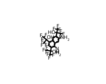 Nc1cc2c(N)c(C(O)(C(F)(F)F)C(F)(F)F)cc(C(O)(C(F)(F)F)C(F)(F)F)c2cc1C(O)(C(F)(F)F)C(F)(F)F